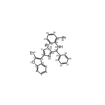 CCc1oc2ccccc2c1-c1csc(C(Nc2c(C(C)C)cccc2C(C)C)c2ccccc2)n1